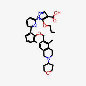 CCCOc1c(C(=O)O)cnn1-c1cccc(-c2cccc(C)c2OCc2ccc3c(c2C)CCN(C2CCOCC2)C3)n1